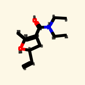 C=CC1CC(C(=O)N(CC)CC)=C(C)O1